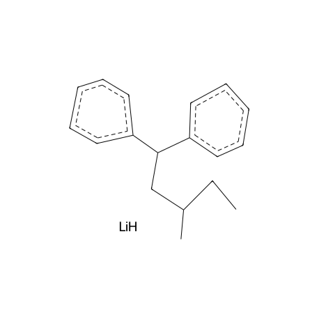 CCC(C)CC(c1ccccc1)c1ccccc1.[LiH]